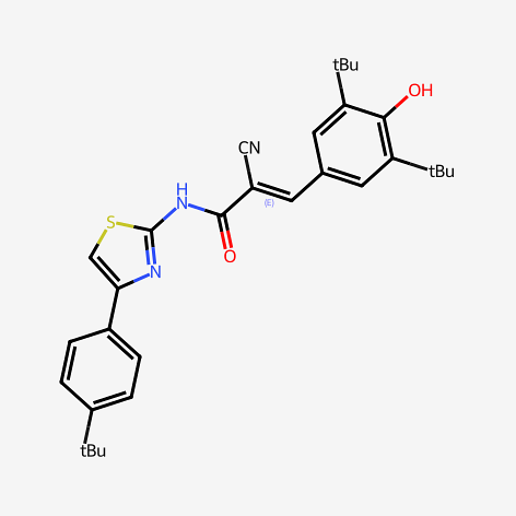 CC(C)(C)c1ccc(-c2csc(NC(=O)/C(C#N)=C/c3cc(C(C)(C)C)c(O)c(C(C)(C)C)c3)n2)cc1